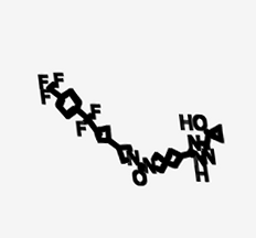 O=C(N1CC(C23CC(C(F)(F)c4ccc(C(F)(F)F)cc4)(C2)C3)C1)N1CC2(CC(c3nc(C4(O)CC4)n[nH]3)C2)C1